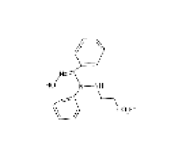 CCOC(=O)CCNN(C(=NO)c1ccccc1)c1ccccc1